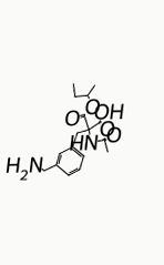 CCC(C)OC(=O)C(Cc1cccc(CN)c1)(NC(C)=O)C(=O)O